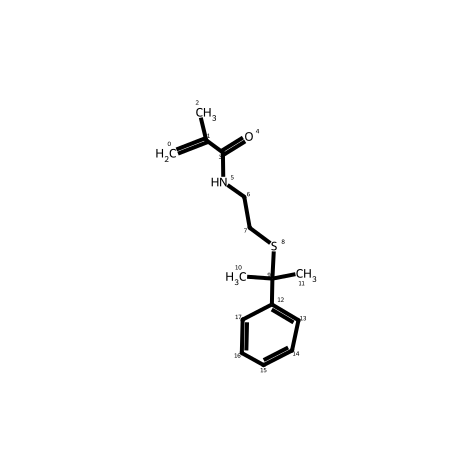 C=C(C)C(=O)NCCSC(C)(C)c1ccccc1